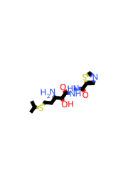 CC(C)SCC[C@@H](N)C(O)C(=O)NNC(=O)c1cncs1